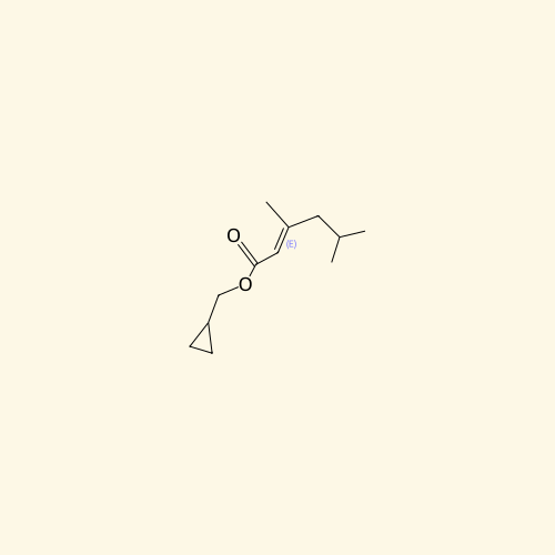 C/C(=C\C(=O)OCC1CC1)CC(C)C